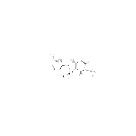 CCS(=O)(=O)c1cc(C)c(N)nc1-c1nc2cc(C(F)(F)F)n(C3CC3)c(=O)c2n1C